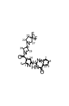 Cc1nn(-c2nn3cccc3c(=O)[nH]2)cc1C(=O)N1CC(N2CCC(F)(F)C2)C1